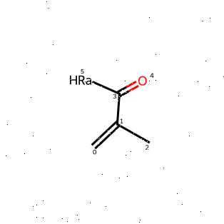 C=C(C)[C](=O)[RaH]